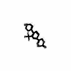 O=C1NN=C(c2ccc(C3=CCNCC3)c(C(F)(F)F)c2)CO1